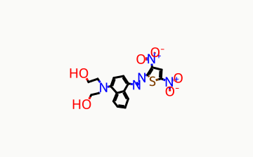 O=[N+]([O-])c1cc([N+](=O)[O-])c(N=Nc2ccc(N(CCO)CCO)c3ccccc23)s1